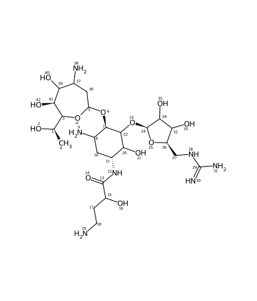 C[C@@H](O)C1OC(O[C@@H]2C(N)C[C@@H](NC(=O)C(O)CCN)C(O)C2O[C@@H]2O[C@H](CNC(=N)N)C(O)C2O)CC(N)C(O)[C@@H]1O